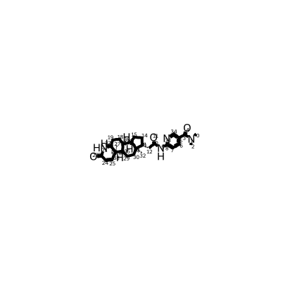 CN(C)C(=O)c1ccc(NC(=O)C[C@H]2CC[C@H]3[C@@H]4CC[C@H]5NC(=O)C=C[C@]5(C)[C@H]4CC[C@]23C)nc1